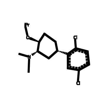 CC(C)O[C@H]1CC[C@H](c2cc(Cl)ccc2Cl)C[C@@H]1N(C)C